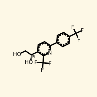 OC[C@H](O)c1ccc(-c2ccc(C(F)(F)F)cc2)nc1C(F)(F)F